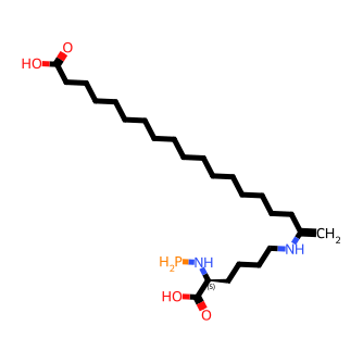 C=C(CCCCCCCCCCCCCCCCC(=O)O)NCCCC[C@H](NP)C(=O)O